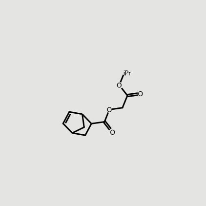 CC(C)OC(=O)COC(=O)C1CC2C=CC1C2